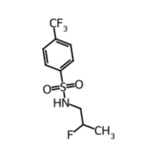 CC(F)CNS(=O)(=O)c1ccc(C(F)(F)F)cc1